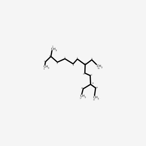 CCC(C)CCCCC(CC)CCC(CC)CC